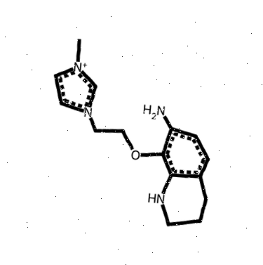 C[n+]1ccn(CCOc2c(N)ccc3c2NCCC3)c1